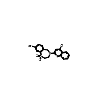 O=S1(=O)CCN(c2cc(Cl)c3ccccc3n2)Cc2ccc(O)cc21